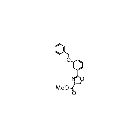 COC(=O)c1coc(-c2cccc(OCc3ccccc3)c2)n1